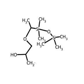 [CH2]C(O)COC(C)[Si](C)(C)O[Si](C)(C)C